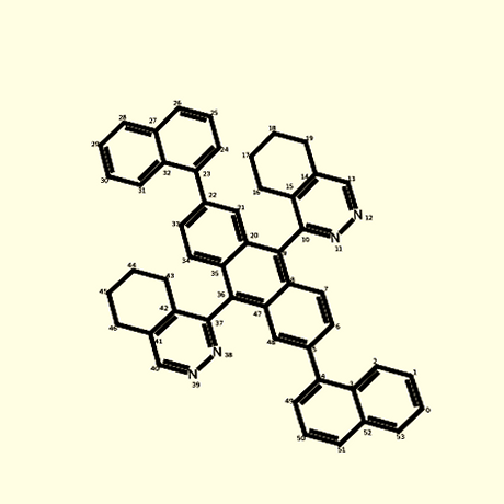 c1ccc2c(-c3ccc4c(-c5nncc6c5CCCC6)c5cc(-c6cccc7ccccc67)ccc5c(-c5nncc6c5CCCC6)c4c3)cccc2c1